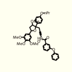 CCCOc1ccc(C2(CC#CN(O)C(=O)c3cccc(Oc4ccccc4)c3)OC(c3cc(OC)c(OC)c(OC)c3)CC2OC)cc1